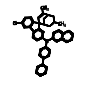 CC1=CC2(c3ccc(Cl)cc3-c3ccc(N(c4ccc(-c5ccccc5)cc4)c4ccc5ccccc5c4)cc32)C2CC(C)CC1C2